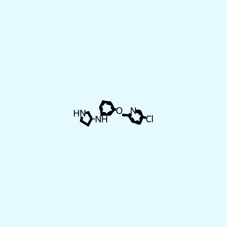 Clc1ccc(COc2cccc(N[C@@H]3CCNC3)c2)nc1